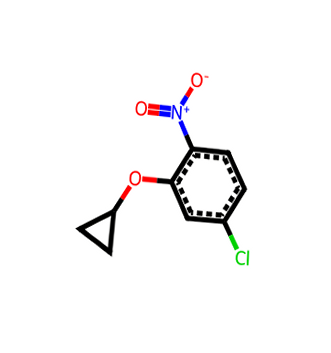 O=[N+]([O-])c1ccc(Cl)cc1OC1CC1